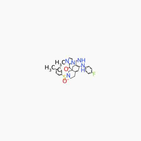 Cc1ccc([S+]([O-])N2CCC3=CC(Nc4ccc(F)cc4)=C(C=N)CC3(C(=O)c3nccn3C)C2)cc1